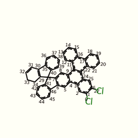 Clc1cc2c3cc4c(cc3c3c5ccccc5c5ccccc5c3c2cc1Cl)C1(C2=C(C=CCC2)c2ccccc21)c1ccccc1-4